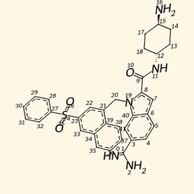 N=C(N)c1ccc2cc(C(=O)N[C@H]3CC[C@H](N)CC3)n(Cc3cc(S(=O)(=O)c4ccccc4)cc4ccccc34)c2c1